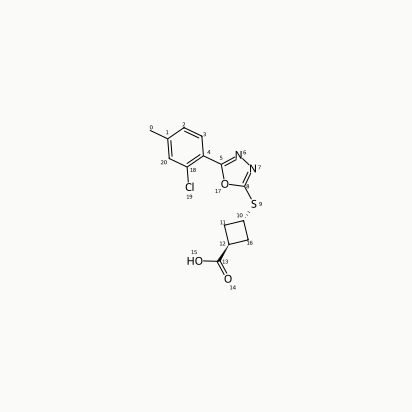 Cc1ccc(-c2nnc(S[C@H]3C[C@H](C(=O)O)C3)o2)c(Cl)c1